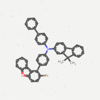 CC1(C)c2ccccc2-c2ccc(N(c3ccc(-c4ccccc4)cc3)c3ccc(-c4c(Br)ccc5oc6ccccc6c45)cc3)cc21